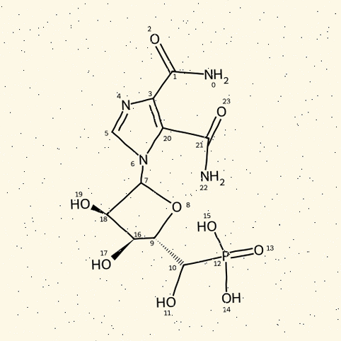 NC(=O)c1ncn(C2O[C@H](C(O)P(=O)(O)O)[C@@H](O)[C@H]2O)c1C(N)=O